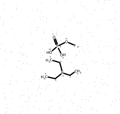 CCN(CC)CC.O=P(O)(O)OF